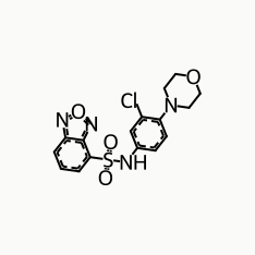 O=S(=O)(Nc1ccc(N2CCOCC2)c(Cl)c1)c1cccc2nonc12